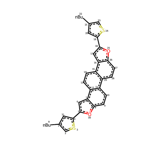 CCCCc1csc(-c2cc3c(ccc4c3ccc3c5cc(-c6cc(CCCC)cs6)oc5ccc34)o2)c1